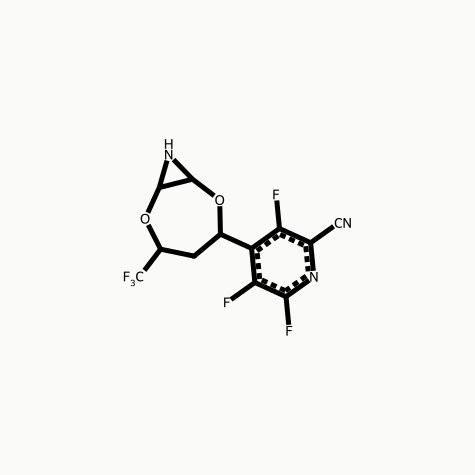 N#Cc1nc(F)c(F)c(C2CC(C(F)(F)F)OC3NC3O2)c1F